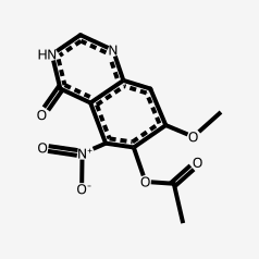 COc1cc2nc[nH]c(=O)c2c([N+](=O)[O-])c1OC(C)=O